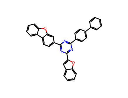 c1ccc(-c2ccc(-c3nc(-c4ccc5c(c4)oc4ccccc45)nc(-c4cc5ccccc5o4)n3)cc2)cc1